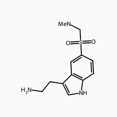 CNCS(=O)(=O)c1ccc2[nH]cc(CCN)c2c1